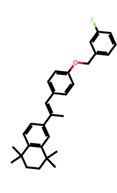 CC(=Cc1ccc(OCc2cccc(F)c2)cc1)c1ccc2c(c1)C(C)(C)CCC2(C)C